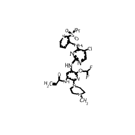 C=CC(=O)Nc1cc(Nc2ncc(Cl)c(Nc3cccnc3S(=O)(=O)C(C)C)n2)c(OC(F)F)nc1N1CCN(C)CC1